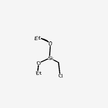 CCO[Si](CCl)OCC